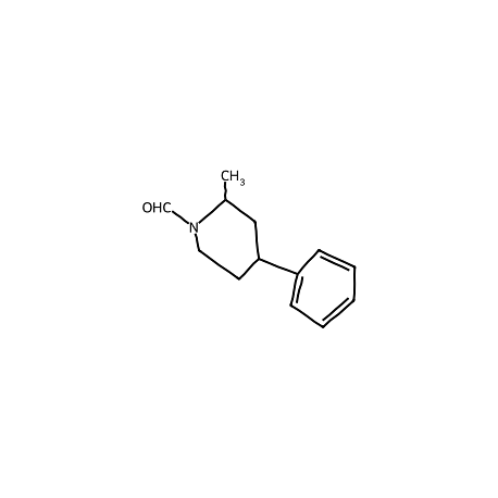 CC1CC(c2ccccc2)CCN1C=O